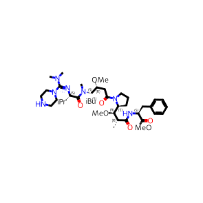 CC[C@H](C)[C@@H]([C@@H](CC(=O)N1CCC[C@H]1[C@H](OC)[C@@H](C)C(=O)N[C@@H](Cc1ccccc1)C(=O)OC)OC)N(C)C(=O)[C@@H](/N=C(/N(C)C)N1CCNCC1)C(C)C